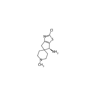 CN1CCC2(CC1)Cc1nc(Cl)sc1[C@H]2N